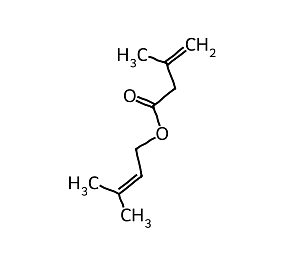 C=C(C)CC(=O)OCC=C(C)C